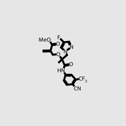 C=C(COC(C)(Cn1cc(F)cn1)C(=O)Nc1ccc(C#N)c(C(F)(F)F)c1)C(=O)OC